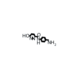 NCc1ccc(NC(=O)c2ccc(O)nn2)cc1